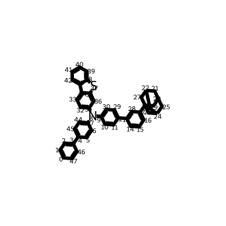 c1ccc(-c2ccc(N(c3ccc(-c4cccc(C56CC7CC(CC(C7)C5)C6)c4)cc3)c3ccc4c(c3)sc3ccccc34)cc2)cc1